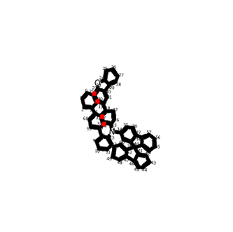 c1ccc(-c2ccc(-c3ccccc3N(c3ccc(-c4ccc5oc6ccccc6c5c4)cc3)c3ccc4c(c3)C3(c5ccccc5-c5ccccc53)c3ccccc3-4)cc2)cc1